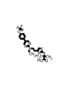 CCN(CCc1csc(SC(C)(C)C(=O)O)n1)c1ncc(-c2ccc(OC(F)(F)F)cc2)cn1